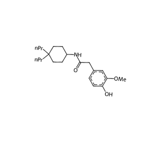 CCCC1(CCC)CCC(NC(=O)Cc2ccc(O)c(OC)c2)CC1